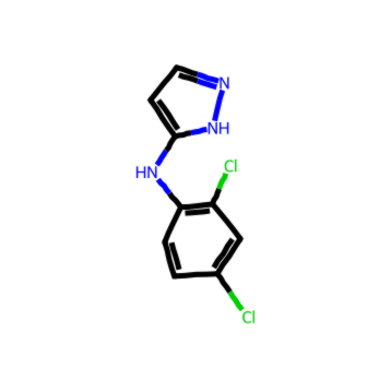 Clc1ccc(Nc2ccn[nH]2)c(Cl)c1